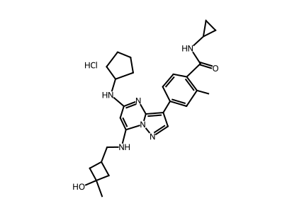 Cc1cc(-c2cnn3c(NCC4CC(C)(O)C4)cc(NC4CCCC4)nc23)ccc1C(=O)NC1CC1.Cl